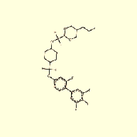 CCCC1COC(C(F)(F)OC2CCC(C(F)(F)Oc3ccc(-c4cc(F)c(F)c(F)c4)c(F)c3)CC2)OC1